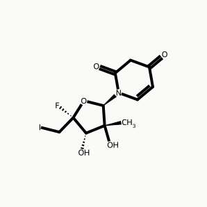 C[C@]1(O)[C@H](N2C=CC(=O)CC2=O)O[C@](F)(CI)[C@H]1O